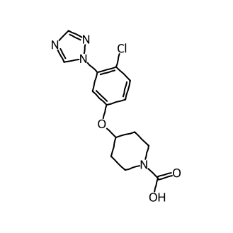 O=C(O)N1CCC(Oc2ccc(Cl)c(-n3cncn3)c2)CC1